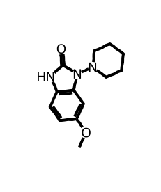 COc1ccc2[nH]c(=O)n(N3CCCCC3)c2c1